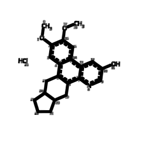 COc1cc2c3c(c4ncc(O)cc4c2cc1OC)CC1CCCC1C3.Cl